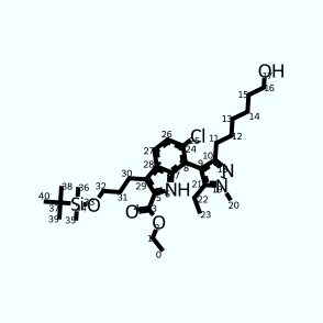 CCOC(=O)c1[nH]c2c(-c3c(CCCCCCO)nn(C)c3CC)c(Cl)ccc2c1CCCO[Si](C)(C)C(C)(C)C